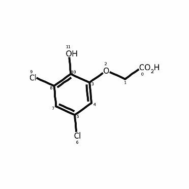 O=C(O)COc1cc(Cl)cc(Cl)c1O